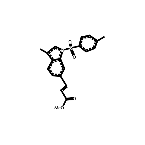 COC(=O)/C=C/c1ccc2c(C)cn(S(=O)(=O)c3ccc(C)cc3)c2c1